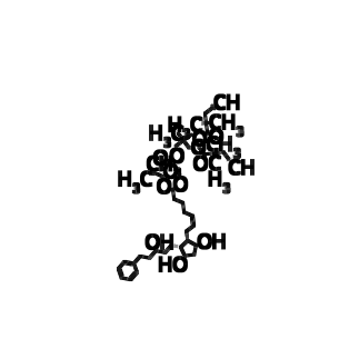 C#CCC(C)(C)C(=O)OCC(C)(COC(=O)OC(OC(=O)CCC/C=C\C[C@@H]1[C@@H](CC[C@@H](O)CCc2ccccc2)[C@H](O)C[C@@H]1O)C(C)C)COC(=O)C(C)(C)CC#C